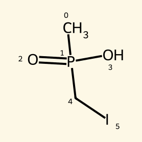 CP(=O)(O)CI